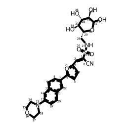 N#C/C(=C\c1ccc(-c2ccc3cc(N4CCOCC4)ccc3c2)o1)S(=O)(=O)NC[C@H]1OC(O)[C@H](O)[C@@H](O)[C@@H]1O